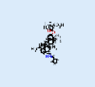 C=C(C)[C@@H]1CC[C@]2(CCNCC3CCCC3)CC[C@]3(C)[C@H](CC[C@@H]4[C@@]5(C)CC[C@H](OC(=O)CC(C)(C)C(=O)O)C(C)(C)[C@@H]5CC[C@]43C)[C@@H]12